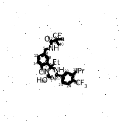 CCC1(c2cc(CNC(=O)C(C)(C)C(F)(F)F)ccc2Cl)N=C(O)N=C(c2ccc(C(F)(F)F)c(C(C)C)c2)N1